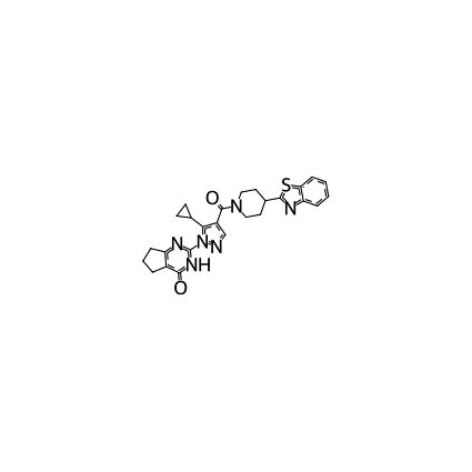 O=C(c1cnn(-c2nc3c(c(=O)[nH]2)CCC3)c1C1CC1)N1CCC(c2nc3ccccc3s2)CC1